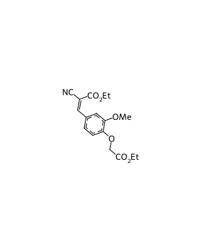 CCOC(=O)COc1ccc(C=C(C#N)C(=O)OCC)cc1OC